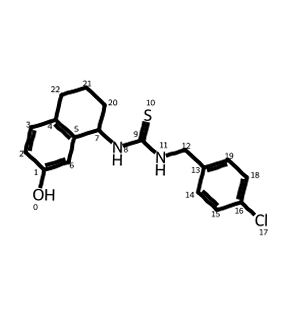 Oc1ccc2c(c1)C(NC(=S)NCc1ccc(Cl)cc1)CCC2